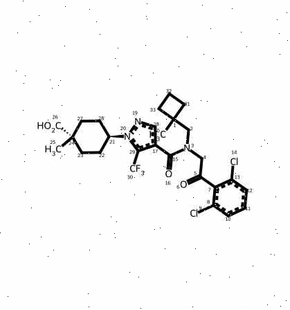 CC1(CN(CC(=O)c2c(Cl)cccc2Cl)C(=O)c2cnn([C@H]3CC[C@](C)(C(=O)O)CC3)c2C(F)(F)F)CCC1